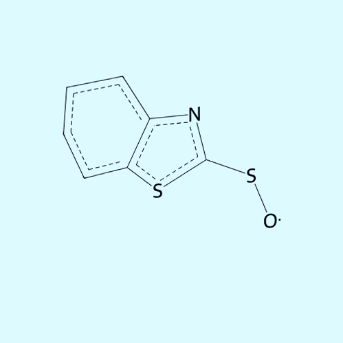 [O]Sc1nc2ccccc2s1